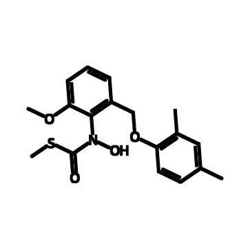 COc1cccc(COc2ccc(C)cc2C)c1N(O)C(=O)SC